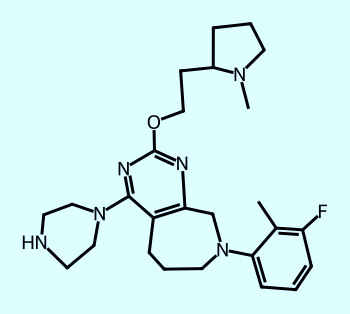 Cc1c(F)cccc1N1CCCc2c(nc(OCCC3CCCN3C)nc2N2CCNCC2)C1